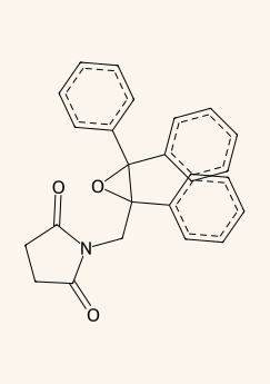 O=C1CCC(=O)N1CC1(c2ccccc2)OC1(c1ccccc1)c1ccccc1